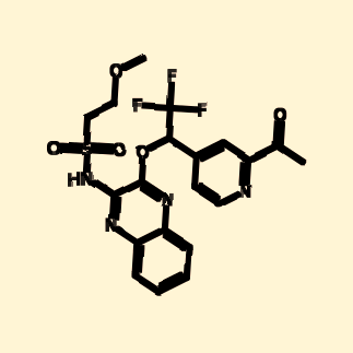 COCCS(=O)(=O)Nc1nc2ccccc2nc1OC(c1ccnc(C(C)=O)c1)C(F)(F)F